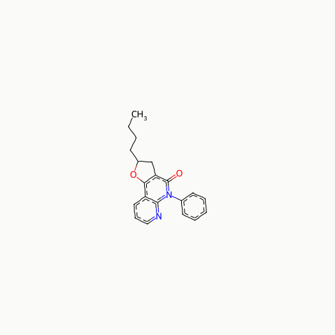 CCCCC1Cc2c(c3cccnc3n(-c3ccccc3)c2=O)O1